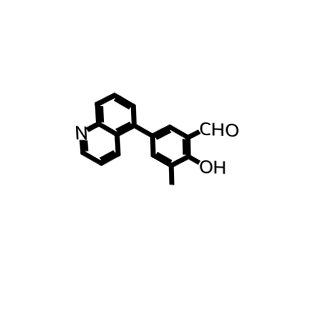 Cc1cc(-c2cccc3ncccc23)cc(C=O)c1O